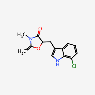 C=C1OC(Cc2c[nH]c3c(Cl)cccc23)C(=O)N1C